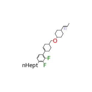 C/C=C/C1CCC(OCC2CC=C(c3ccc(CCCCCCC)c(F)c3F)CC2)CC1